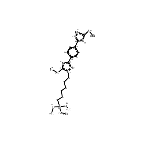 CCO[Si](CCCCCCn1nc(-c2ccc(-c3n[nH]c(SCC)n3)cc2)nc1SCC)(OCC)OCC